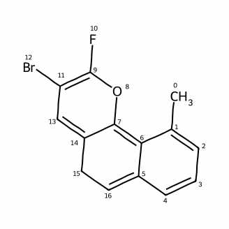 Cc1cccc2c1=C1OC(F)=C(Br)C=C1CC=2